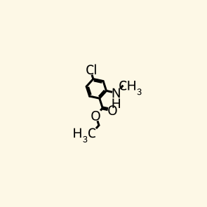 CCOC(=O)c1ccc(Cl)cc1NC